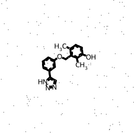 Cc1ccc(O)c(C)c1COc1cccc(-c2cnn[nH]2)c1